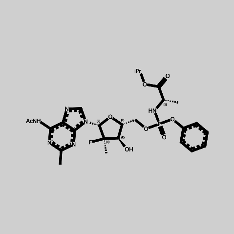 CC(=O)Nc1nc(C)nc2c1ncn2[C@@H]1O[C@H](COP(=O)(N[C@@H](C)C(=O)OC(C)C)Oc2ccccc2)[C@@H](O)[C@@]1(C)F